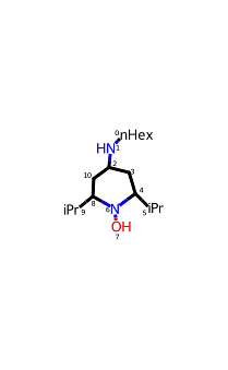 CCCCCCNC1CC(C(C)C)N(O)C(C(C)C)C1